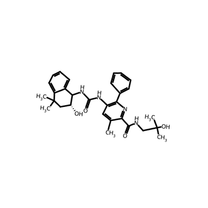 Cc1cc(NC(=O)NC2c3ccccc3C(C)(C)C[C@H]2O)c(-c2ccccc2)nc1C(=O)NCC(C)(C)O